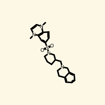 CN1C=CN(C)c2cc(S(=O)(=O)N3CCCC(CN4CCc5ccccc5C4)C3)ccc21